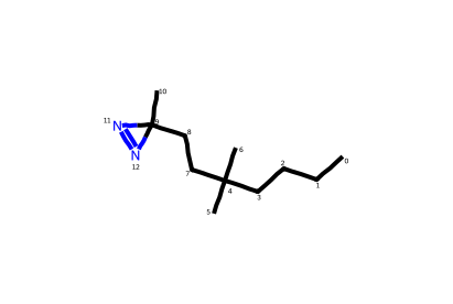 CCCCC(C)(C)CCC1(C)N=N1